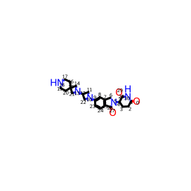 O=C1CCC(N2Cc3cc(N4CC(N5CC6(CCNCC6)C5)C4)ccc3C2=O)C(=O)N1